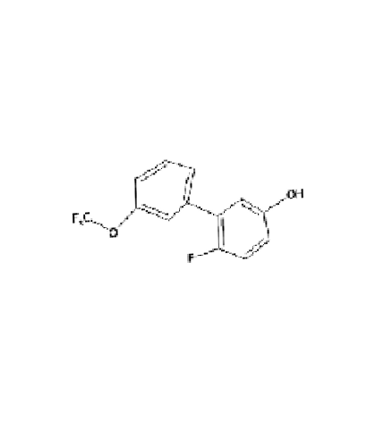 Oc1ccc(F)c(-c2cccc(OC(F)(F)F)c2)c1